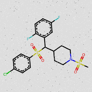 CS(=O)(=O)N1CCC(C(c2cc(F)ccc2F)S(=O)(=O)c2ccc(Cl)cc2)CC1